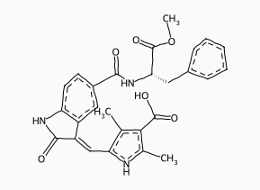 COC(=O)[C@H](Cc1ccccc1)NC(=O)c1ccc2c(c1)C(=Cc1[nH]c(C)c(C(=O)O)c1C)C(=O)N2